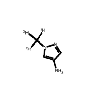 [2H]C([2H])([2H])n1cc(N)cn1